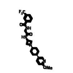 COc1ccc([C@H]2CC[C@@H](N3CC(NC(=O)CNC(=O)c4cccc(C(F)(F)F)c4)C3)CC2)cn1